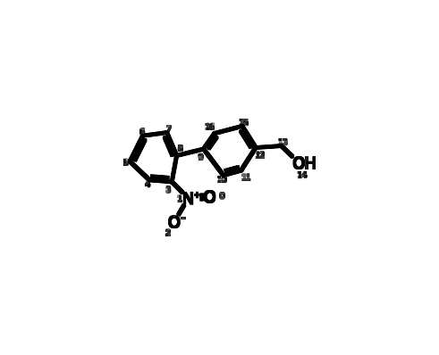 O=[N+]([O-])c1ccccc1-c1ccc(CO)cc1